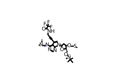 CSCO[C@H]1C[C@H](n2cc(C#CCNC(=O)C(F)(F)F)c3c(/N=C/N(C)I)ncnc32)O[C@@H]1CO[Si](C)(C)C(C)(C)C